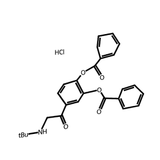 CC(C)(C)NCC(=O)c1ccc(OC(=O)c2ccccc2)c(OC(=O)c2ccccc2)c1.Cl